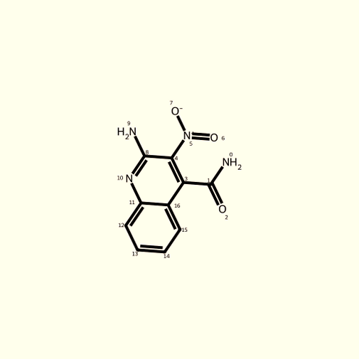 NC(=O)c1c([N+](=O)[O-])c(N)nc2ccccc12